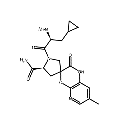 CN[C@@H](CC1CC1)C(=O)N1CC2(C[C@H]1C(N)=O)Oc1ncc(C)cc1NC2=O